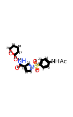 CC(=O)Nc1ccc(S(=O)(=O)N2CC=C(C(=O)NOC3CCCCO3)C2)cc1